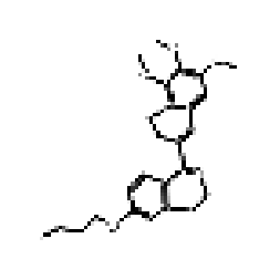 CCCCOc1ccc2c(c1)CCN=C2C1=Cc2cc(OC)c(OC)c(OC)c2CC1